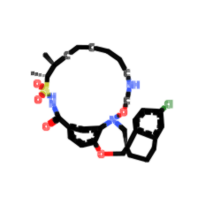 C[C@@H]1[C@@H](C)CCCCCCNCON2C[C@@]3(CCCc4cc(Cl)ccc43)COc3ccc(cc32)C(=O)NS1(=O)=O